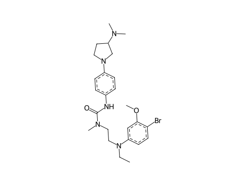 CCN(CCN(C)C(=O)Nc1ccc(N2CCC(N(C)C)C2)cc1)c1ccc(Br)c(OC)c1